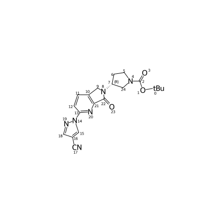 CC(C)(C)OC(=O)N1CC[C@@H](N2Cc3ccc(-n4cc(C#N)cn4)nc3C2=O)C1